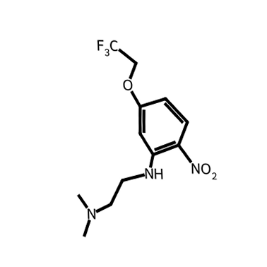 CN(C)CCNc1cc(OCC(F)(F)F)ccc1[N+](=O)[O-]